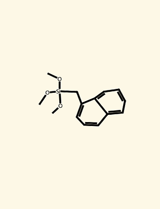 CO[Si](Cc1cccc2ccccc12)(OC)OC